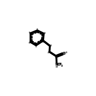 O=C(CCc1ccccc1)NC(F)(F)F